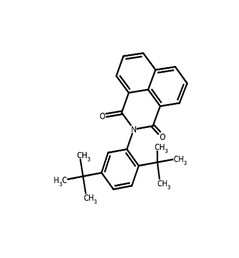 CC(C)(C)c1ccc(C(C)(C)C)c(N2C(=O)c3cccc4cccc(c34)C2=O)c1